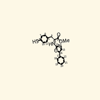 COC(=O)[C@H](Cc1ccc(S)cc1)Nc1ncc(-c2ccccc2)o1